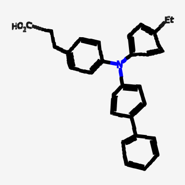 CCc1ccc(N(c2ccc(CCC(=O)O)cc2)c2ccc(-c3ccccc3)cc2)cc1